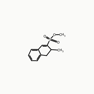 COS(=O)(=O)C1=Cc2ccccc2CC1C